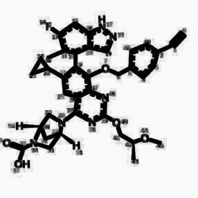 C#Cc1ccc(COc2c(-c3c(C)c(F)cc4[nH]ncc34)c(C3CC3)cc3c(N4C[C@@H]5C[C@H]4CN5C(=O)O)nc(OC[C@H](C)OC)nc23)cc1